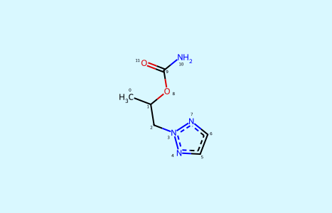 CC(Cn1nccn1)OC(N)=O